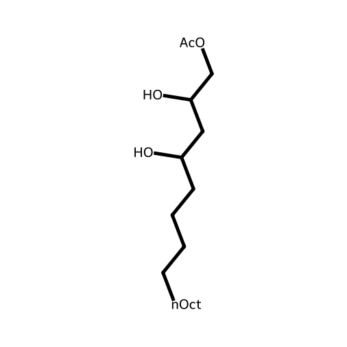 CCCCCCCCCCCCC(O)CC(O)COC(C)=O